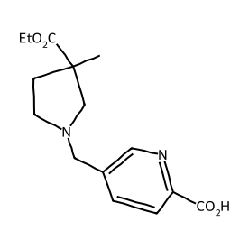 CCOC(=O)C1(C)CCN(Cc2ccc(C(=O)O)nc2)C1